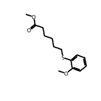 COC(=O)CCCCCSc1ccccc1OC